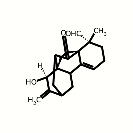 C=C1C2CC3C(=O)[C@@]45CC[C@@]3(C(C2)C4=CCC[C@@]5(C)C=O)[C@@H]1O